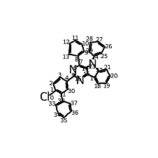 Clc1ccc(-c2nc(-c3ccccc3)c3c(n2)c2ccccc2n3-c2ccccc2)cc1-c1ccccc1